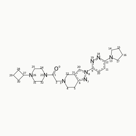 O=C(CN1CCc2nn(-c3ccc(N4CCCC4)nn3)cc2C1)N1CCN(C2CCC2)CC1